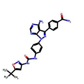 CC(C)(C)c1cc(NC(=O)Nc2ccc(-n3nc(-c4ccc(C(N)=O)cc4)c4c(N)ncnc43)cc2)no1